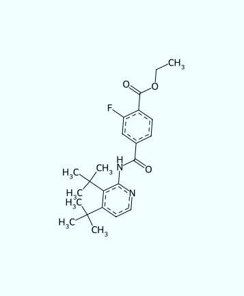 CCOC(=O)c1ccc(C(=O)Nc2nccc(C(C)(C)C)c2C(C)(C)C)cc1F